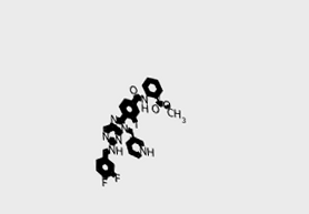 COC(=O)[C@@H]1CCCC[C@H]1NC(=O)c1ccc(-c2nc3cnc(NCc4ccc(F)c(F)c4)nc3n2C[C@@H]2CCCNC2)c(I)c1